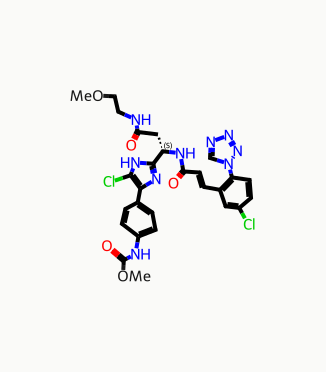 COCCNC(=O)C[C@H](NC(=O)C=Cc1cc(Cl)ccc1-n1cnnn1)c1nc(-c2ccc(NC(=O)OC)cc2)c(Cl)[nH]1